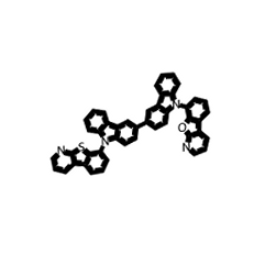 c1cnc2oc3c(-n4c5ccccc5c5cc(-c6ccc7c(c6)c6ccccc6n7-c6cccc7c6sc6ncccc67)ccc54)cccc3c2c1